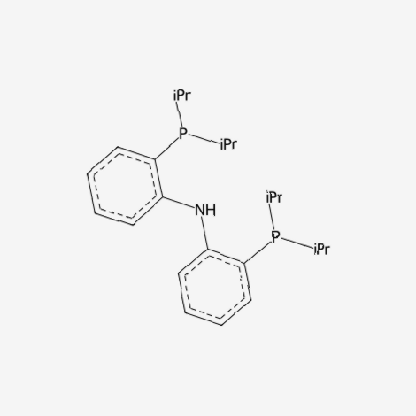 CC(C)P(c1ccccc1Nc1ccccc1P(C(C)C)C(C)C)C(C)C